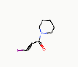 O=C(/C=C/I)N1CCCCC1